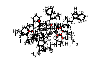 CCCC[C@@H](C(=O)N(C)[C@@H](CCCC)C(=O)N[C@@H](C)C(=O)N[C@@H](CSCC(=O)N[C@@H](Cc1ccc(O)cc1)C(=O)N(C)[C@@H](C)C(=O)N[C@@H](CC(N)=O)C(=O)N1CCC[C@H]1C(=O)N[C@@H](CN)C(=O)N[C@@H](CCC(=O)O)C(=O)N1C[C@H](O)C[C@H]1C(C)=O)C(=O)NCC(N)=O)N(C)C(=O)[C@H](Cc1c[nH]c2ccccc12)NC(=O)[C@H](CO)NC(=O)[C@@H](N)Cc1c[nH]c2ccccc12